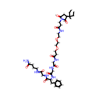 CCC(C)(CC)C1CC(=O)N(CCC(=O)NCCOCCOCCC(=O)NCC(=O)NCC(=O)NC(Cc2ccccc2)C(=O)NCC(=O)NCCCC(N)=O)C1=O